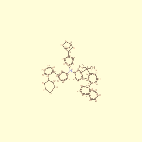 CC1(C)c2cc(N(c3ccc(C4CC5CCC4C5)cc3)c3cccc(-c4ccccc4C4CCCCC4)c3)ccc2-c2c(-c3cccc4ccccc34)cccc21